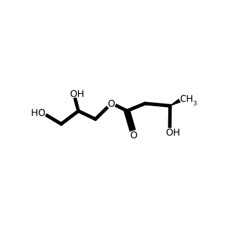 C[C@@H](O)CC(=O)OCC(O)CO